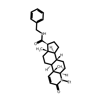 CCN1C(=O)C=C[C@]2(C)[C@H]3CC[C@]4(C)[C@@H](C(=O)NCc5ccccc5)CC[C@H]4[C@@H]3CC[C@@H]12